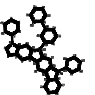 c1ccc(-n2ccc3cc4c5cc6c7ccccc7n(-c7ccccc7)c6cc5n(-c5cccc(-c6ccccn6)c5)c4cc32)cc1